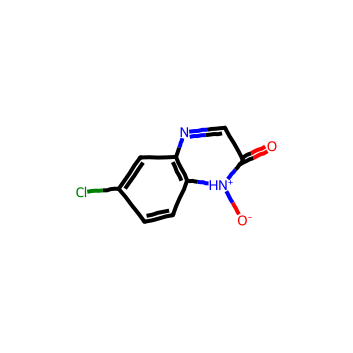 O=C1C=Nc2cc(Cl)ccc2[NH+]1[O-]